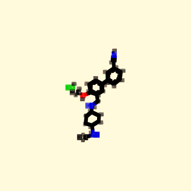 CNC1CCC(NCc2cc(-c3cccc(C#N)c3)ccc2OC)CC1.Cl